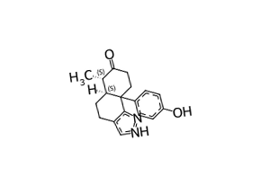 C[C@@H]1C(=O)CCC2(c3ccc(O)cc3)c3n[nH]cc3CC[C@@H]12